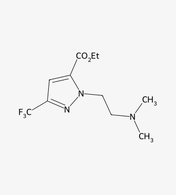 CCOC(=O)c1cc(C(F)(F)F)nn1CCN(C)C